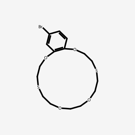 Brc1ccc2c(c1)OCCSCCOCCOCCSCCO2